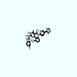 CC1=C(C(=O)Nc2ccc(C3=NCN=N3)cn2)C(c2ccccc2Cl)N=C(Nc2nc3ccc(F)cc3o2)N1